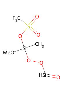 CO[Si](C)(OO[SiH]=O)OS(=O)(=O)C(F)(F)F